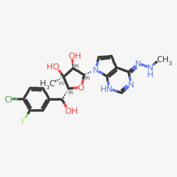 CNN=c1nc[nH]c2c1ccn2[C@@H]1O[C@H](C(O)c2ccc(Cl)c(F)c2)[C@@](C)(O)[C@H]1O